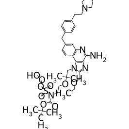 CCOCc1nc2c(N)nc3cc(Cc4ccc(CCN5CCCC5)cc4)ccc3c2n1CC(C)(C)OCCN(C(=O)OC(C)(C)C)S(=O)(=O)OOO